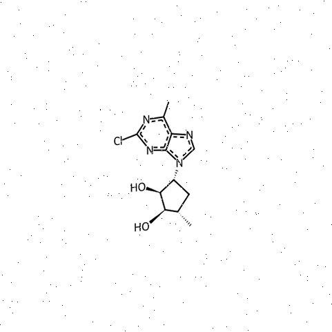 Cc1nc(Cl)nc2c1ncn2[C@@H]1C[C@H](C)[C@@H](O)[C@H]1O